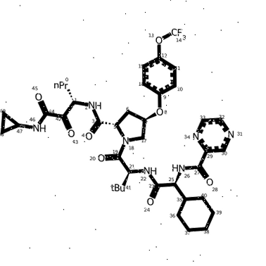 CCC[C@H](NC(=O)[C@@H]1C[C@@H](Oc2ccc(OC(F)(F)F)cc2)CN1C(=O)[C@@H](NC(=O)[C@@H](NC(=O)c1cnccn1)C1CCCCC1)C(C)(C)C)C(=O)C(=O)NC1CC1